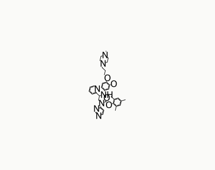 COc1cc(NC(CN(C(=O)Oc2c(C)cc(C)cc2C)c2ccncn2)c2ccccn2)ccc1OCCCN1CCN(C)CC1